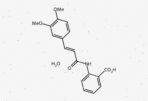 COc1ccc(/C=C/C(=O)Nc2ccccc2C(=O)O)cc1OC.O